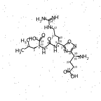 CC(C)C[C@H](NC(=O)N[C@@H](CCCNC(=N)N)c1nc([C@@H](N)CCC(=O)O)no1)C(=O)O